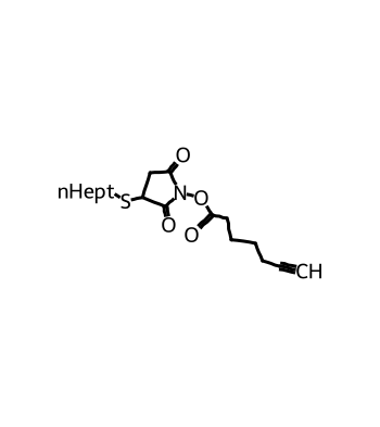 C#CCCCCC(=O)ON1C(=O)CC(SCCCCCCC)C1=O